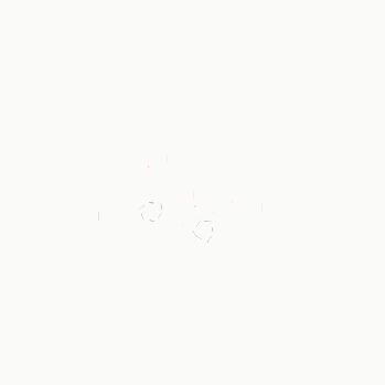 COCOc1cc(C2Oc3cccc(OCOC)c3C(=O)C2O)ccc1OC